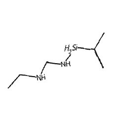 CCNCN[SiH2]C(C)C